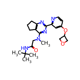 CN(CC(=O)NC(C)(C)C)c1nc(-c2cc(OC3COC3)ccn2)nc2c1CCC2